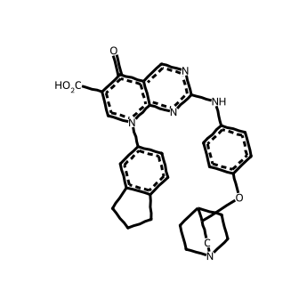 O=C(O)c1cn(-c2ccc3c(c2)CCC3)c2nc(Nc3ccc(OC4CN5CCC4CC5)cc3)ncc2c1=O